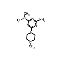 CN1CCN(c2nc(N)nc(N(C)C)n2)CC1